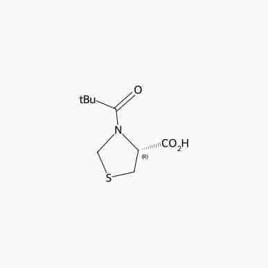 CC(C)(C)C(=O)N1CSC[C@H]1C(=O)O